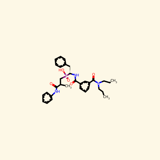 CCCN(CCC)C(=O)c1cccc(C(=O)N[C@@H](Cc2ccccc2)P(=O)(O)CC(C)C(=O)Nc2ccccc2)c1